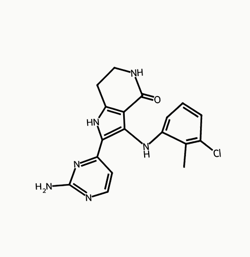 Cc1c(Cl)cccc1Nc1c(-c2ccnc(N)n2)[nH]c2c1C(=O)NCC2